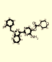 Nc1nc(-c2nn(Cc3ccccc3F)c3ncccc23)ncc1OC(=O)N1CCOCC1